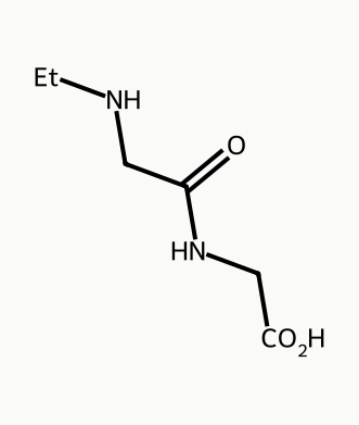 CCNCC(=O)NCC(=O)O